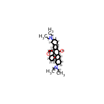 CCN(CC)c1ccc2cc3c(cc2c1)C1(c2ccccc2Oc2ccccc21)c1cc2cc(N(CC)CC)ccc2cc1C3=O